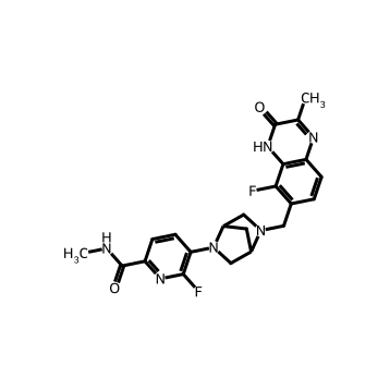 CNC(=O)c1ccc(N2CC3CC2CN3Cc2ccc3nc(C)c(=O)[nH]c3c2F)c(F)n1